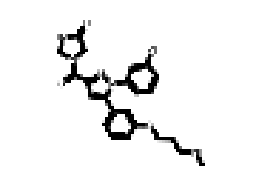 CNCCCOc1cccc(-c2cc(C(=O)N3CNC(=O)C3)nn2-c2cccc(Cl)c2)c1